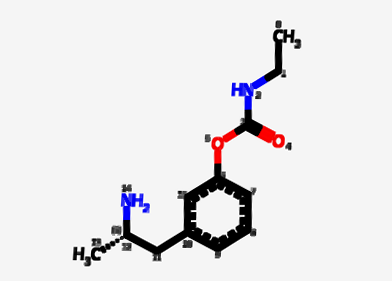 CCNC(=O)Oc1cccc(C[C@H](C)N)c1